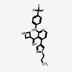 CCCn1cc(-c2ccnc(Nc3ccc(C(F)(F)F)cc3)c2C(=N)C2CNC2)cn1